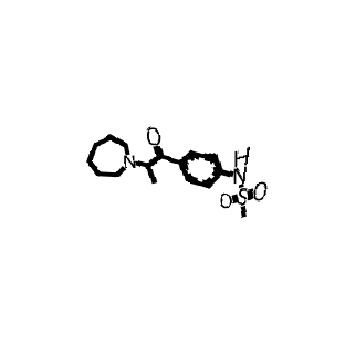 CC(C(=O)c1ccc(NS(C)(=O)=O)cc1)N1CCCCCC1